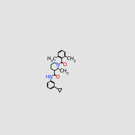 Cc1cccc(C)c1C(=O)N1CCCC(C(=O)Nc2cccc(C3CC3)c2)[C@@H]1C